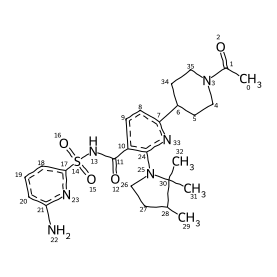 CC(=O)N1CCC(c2ccc(C(=O)NS(=O)(=O)c3cccc(N)n3)c(N3CCC(C)C3(C)C)n2)CC1